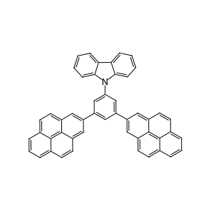 c1cc2ccc3cc(-c4cc(-c5cc6ccc7cccc8ccc(c5)c6c78)cc(-n5c6ccccc6c6ccccc65)c4)cc4ccc(c1)c2c34